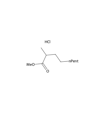 CCCCCCCC(C)C(=O)OC.Cl